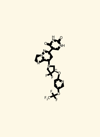 O=c1[nH]cc(-c2cc(N3C[C@@H](Oc4ccc(OC(F)(F)C(F)(F)F)cn4)C(F)(F)C3)c3nccn3n2)c(=O)[nH]1